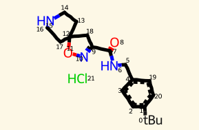 CC(C)(C)c1ccc(CNC(=O)C2=NOC3(CCNCC3)C2)cc1.Cl